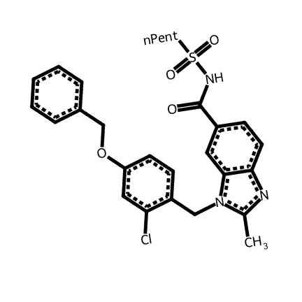 CCCCCS(=O)(=O)NC(=O)c1ccc2nc(C)n(Cc3ccc(OCc4ccccc4)cc3Cl)c2c1